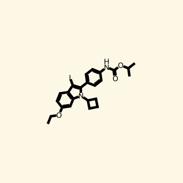 CCOc1ccc2c(I)c(-c3ccc(NC(=O)OC(C)C)cc3)n(C3CCC3)c2c1